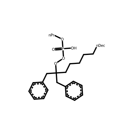 CCCCCCCCCCCCCCCC(Cc1ccccc1)(Cc1ccccc1)OOP(=O)(O)OCCC